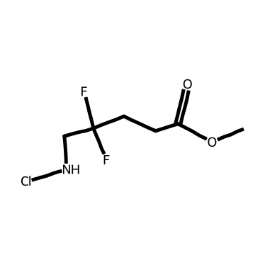 COC(=O)CCC(F)(F)CNCl